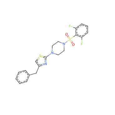 O=S(=O)(c1c(F)cccc1F)N1CCN(c2nc(Cc3ccccc3)cs2)CC1